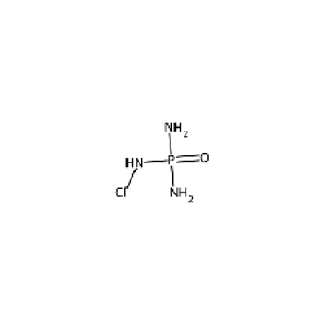 NP(N)(=O)NCl